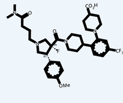 COc1ccc([C@@H]2CN(CCCC(=O)N(C)C)C[C@@]2(F)C(=O)N2CCC(c3ccc(C(F)(F)F)cc3N3CCC(C(=O)O)CC3)CC2)cc1